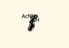 CC(=O)Nc1ccccc1C(=O)Nc1cccc(-c2nnc(-c3ccco3)o2)c1